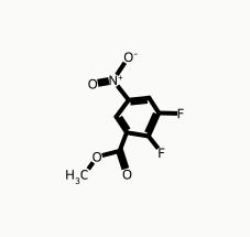 COC(=O)c1cc([N+](=O)[O-])cc(F)c1F